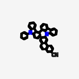 N#Cc1ccc2c(ccc3ccc(-n4c5ccccc5c5cccc(-c6cccc7c6c6ccccc6n7-c6ccccc6)c54)cc32)c1